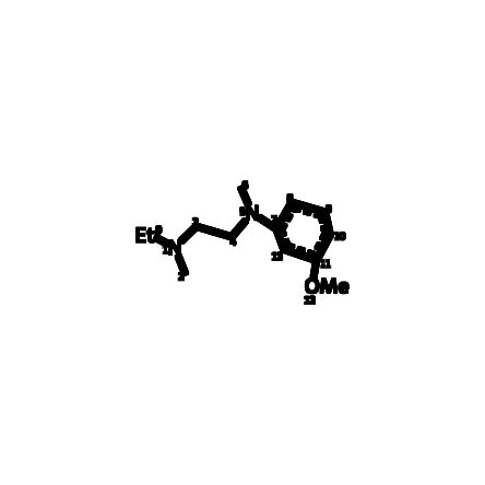 CCN(C)CCN(C)c1cccc(OC)c1